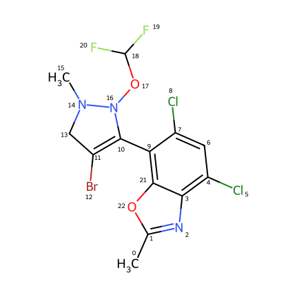 Cc1nc2c(Cl)cc(Cl)c(C3=C(Br)CN(C)N3OC(F)F)c2o1